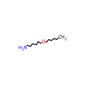 [CH2]CCCCCOCCCCCCN